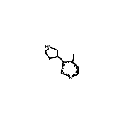 Fc1ccncc1C1CCNC1